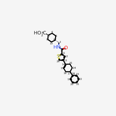 O=C(NC[C@H]1CC[C@H](C(=O)O)CC1)c1cc(C2=CCC(c3ccccc3)CC2)cs1